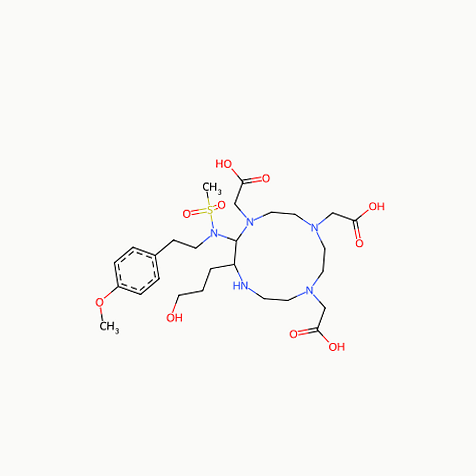 COc1ccc(CCN(C2C(CCCO)NCCN(CC(=O)O)CCN(CC(=O)O)CCN2CC(=O)O)S(C)(=O)=O)cc1